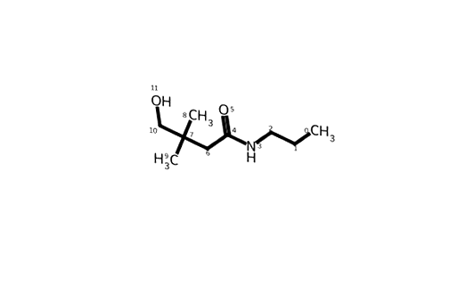 CCCNC(=O)CC(C)(C)CO